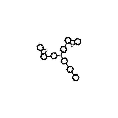 C1=CC(c2ccc(-c3ccc(N(c4ccc(-c5cccc6c5oc5ccccc56)cc4)c4ccc(-c5cccc6c5oc5ccccc56)cc4)cc3)cc2)=CCC1